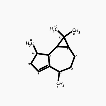 CC1CCC2C(C3C1=CCC3C)C2(C)C